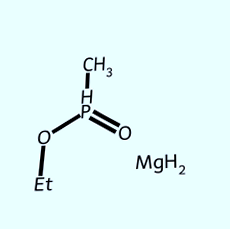 CCO[PH](C)=O.[MgH2]